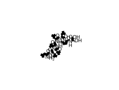 CC(C)C[C@H](NC(=O)[C@H](CC(C)C)NC(=O)[C@H](CC(C)C)NC(=O)[C@@H](N)CC(C)C)C(=O)N[C@@H](CC(C)C)C(=O)N[C@@H](CC(C)C)C(=O)N1CCC[C@H]1C(=O)N[C@@H](CO)C(=O)O